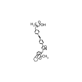 C[C@H](OC1CCCCO1)c1nccn1Cc1cc(-c2ccc(C#Cc3ccc(CN(C)CC(=O)O)cc3)cc2)on1